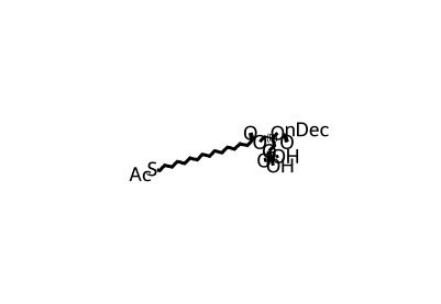 CCCCCCCCCCC(=O)O[C@H](COC(=O)CCCCCCCCCCCCCCCSC(C)=O)COP(=O)(O)O